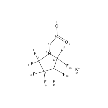 O=C([O-])CN1C(F)(F)C(F)(F)C(F)(F)C1(F)F.[K+]